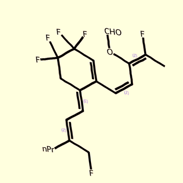 CCC/C(=C/C=C1\CC(F)(F)C(F)(F)C=C1/C=C\C(OC=O)=C(/C)F)CF